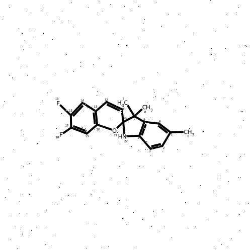 Cc1ccc2c(c1)C(C)(C)C1(C=Cc3cc(F)c(F)cc3O1)N2